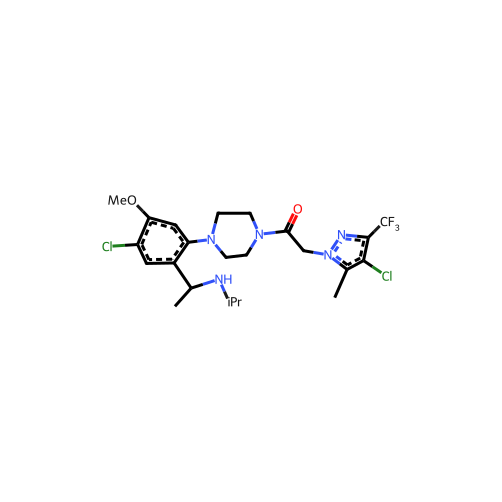 COc1cc(N2CCN(C(=O)Cn3nc(C(F)(F)F)c(Cl)c3C)CC2)c(C(C)NC(C)C)cc1Cl